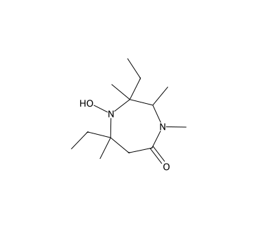 CCC1(C)CC(=O)N(C)C(C)C(C)(CC)N1O